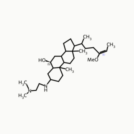 C/C=C(\CCC(C)C1CCC2C3C[C@H](O)C4CC(NCCN(C)C)CCC4(C)C3CCC12C)OC